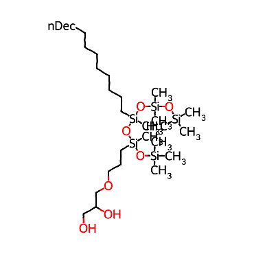 CCCCCCCCCCCCCCCCCC[Si](C)(O[Si](C)(C)O[Si](C)(C)C)O[Si](C)(CCCOCC(O)CO)O[Si](C)(C)C